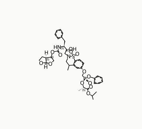 CC(C)OC(=O)[C@H](C)OP(=O)(COc1ccc2c(c1)C(C)CN(C[C@@H](O)[C@H](Cc1ccccc1)NC(=O)O[C@H]1CO[C@H]3OCC[C@H]31)S2(=O)=O)Oc1ccccc1